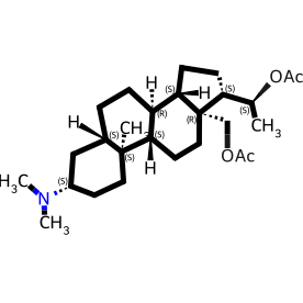 CC(=O)OC[C@]12CC[C@H]3[C@@H](CC[C@H]4C[C@@H](N(C)C)CC[C@@]43C)[C@@H]1CC[C@@H]2[C@H](C)OC(C)=O